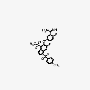 Cc1ccc(S(=O)(=O)n2ccc3c(S(C)(=O)=O)c(Oc4ccc(F)c(C(=N)N)c4)c(F)cc32)cc1